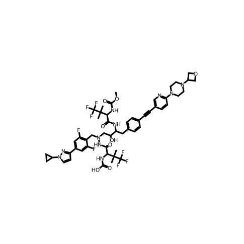 COC(=O)NC(C(=O)NC(Cc1ccc(C#Cc2ccc(N3CCN(C4COC4)CC3)nc2)cc1)C(O)CN(Cc1c(F)cc(-c2ccn(C3CC3)n2)cc1F)NC(=O)C(NC(=O)O)C(C)(C)C(F)(F)F)C(C)(C)C(F)(F)F